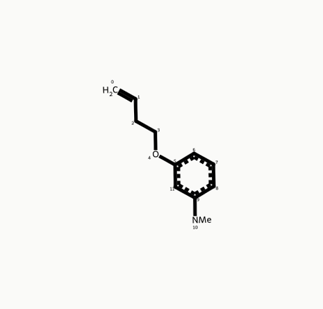 C=CCCOc1cccc(NC)c1